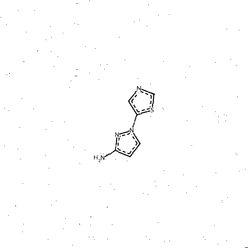 Nc1ccn(-c2cncs2)n1